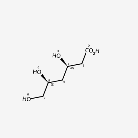 O=C(O)C[C@H](O)C[C@H](O)CO